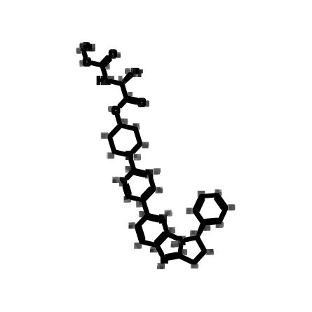 CC(C)[C@H](NC(=O)OC(C)(C)C)C(=O)OC1CCN(c2ncc(-c3ccc4nc5n(c4n3)[C@@H](c3ccccc3)CC5)cn2)CC1